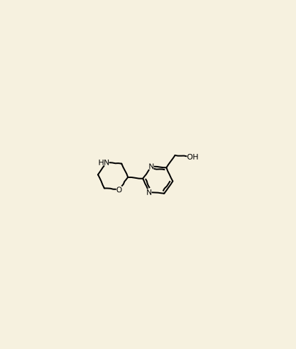 OCc1ccnc(C2CNCCO2)n1